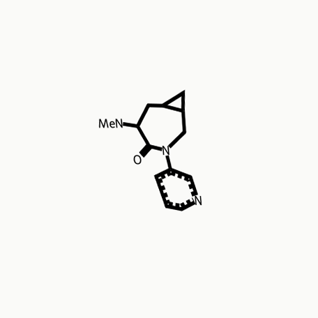 CNC1CC2CC2CN(c2cccnc2)C1=O